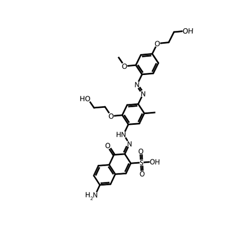 COc1cc(OCCO)ccc1/N=N/c1cc(OCCO)c(N/N=C2\C(=O)c3ccc(N)cc3C=C2S(=O)(=O)O)cc1C